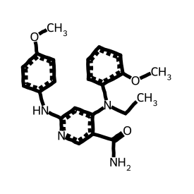 CCN(c1ccccc1OC)c1cc(Nc2ccc(OC)cc2)ncc1C(N)=O